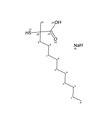 CCCCCCCCCCC(C)(S)C(=O)O.[NaH]